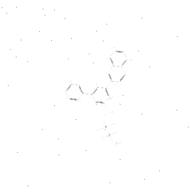 CC(C)(O)C(C)(C)OSc1cc(-c2ccccc2)cc(-c2ccc3ccccc3c2)c1